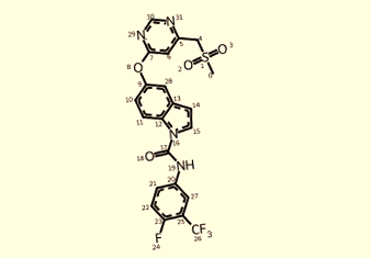 CS(=O)(=O)Cc1cc(Oc2ccc3c(ccn3C(=O)Nc3ccc(F)c(C(F)(F)F)c3)c2)ncn1